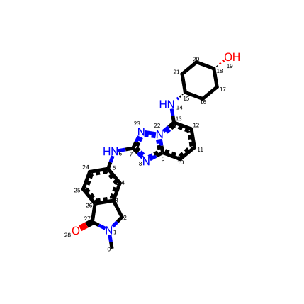 CN1Cc2cc(Nc3nc4cccc(N[C@H]5CC[C@@H](O)CC5)n4n3)ccc2C1=O